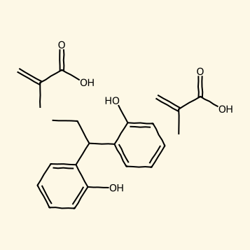 C=C(C)C(=O)O.C=C(C)C(=O)O.CCC(c1ccccc1O)c1ccccc1O